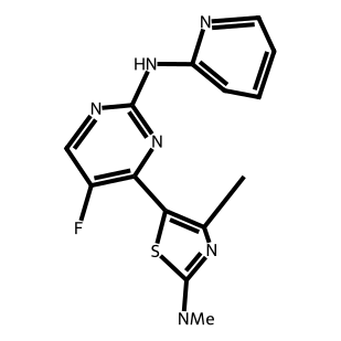 CNc1nc(C)c(-c2nc(Nc3ccccn3)ncc2F)s1